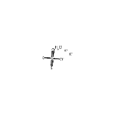 O.O=S([O-])([O-])=S.[K+].[K+]